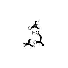 CC(=O)CO.CC(C)=O.CC(C)=O